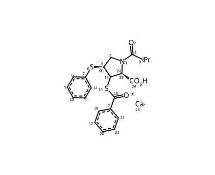 CC(C)C(=O)N1C[C@H](Sc2ccccc2)C(SC(=O)c2ccccc2)[C@@H]1C(=O)O.[Ca]